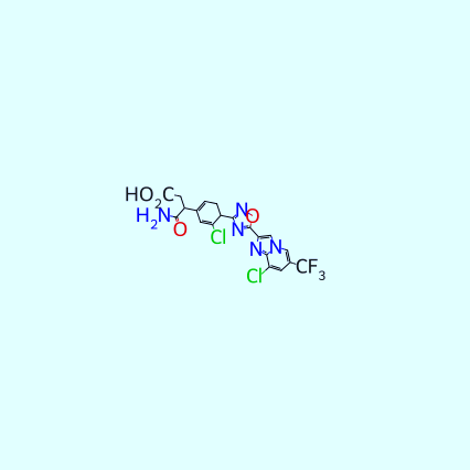 NC(=O)C(CC(=O)O)C1=CCC(c2noc(-c3cn4cc(C(F)(F)F)cc(Cl)c4n3)n2)C(Cl)=C1